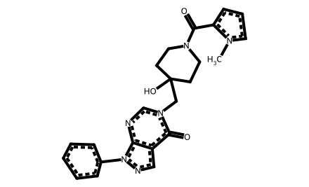 Cn1cccc1C(=O)N1CCC(O)(Cn2cnc3c(cnn3-c3ccccc3)c2=O)CC1